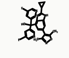 Cc1noc(C)c1-c1cc(C(O)(c2cncc(F)c2)c2cncc(F)c2)c2nc(C3CC3)[nH]c2c1